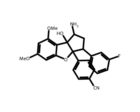 COc1cc(OC)c2c(c1)OC1(c3ccc(C#N)cc3)C(c3cccc(F)c3)CC(N)C21O